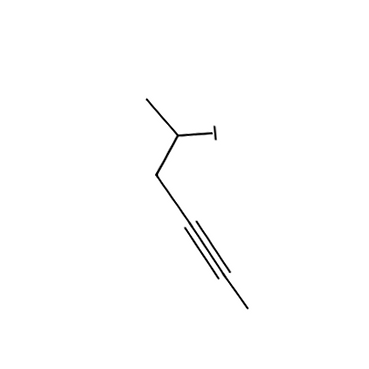 CC#CCC(C)I